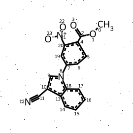 COC(=O)c1ccc(-n2cc(C#N)c3ccccc32)cc1[N+](=O)[O-]